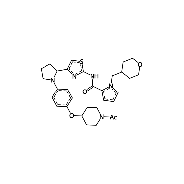 CC(=O)N1CCC(Oc2ccc(N3CCCC3c3csc(NC(=O)c4cccn4CC4CCOCC4)n3)cc2)CC1